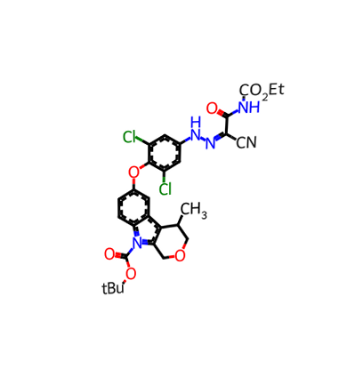 CCOC(=O)NC(=O)C(C#N)=NNc1cc(Cl)c(Oc2ccc3c(c2)c2c(n3C(=O)OC(C)(C)C)COCC2C)c(Cl)c1